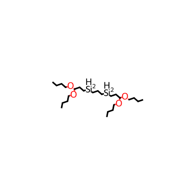 CCCCOC(CC[SiH2]CCC[SiH2]CCC(OCCCC)OCCCC)OCCCC